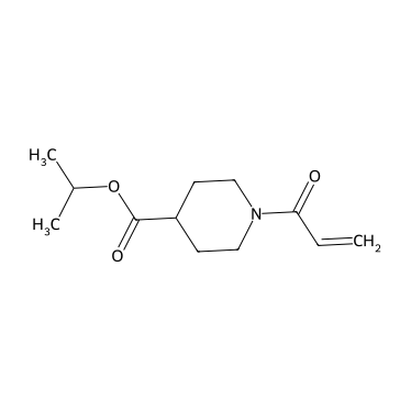 C=CC(=O)N1CCC(C(=O)OC(C)C)CC1